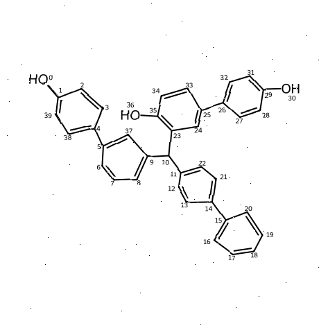 Oc1ccc(-c2cccc(C(c3ccc(-c4ccccc4)cc3)c3cc(-c4ccc(O)cc4)ccc3O)c2)cc1